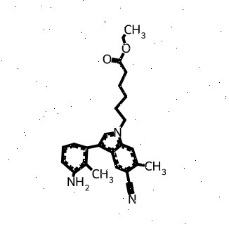 CCOC(=O)CCCCCn1cc(-c2cccc(N)c2C)c2cc(C#N)c(C)cc21